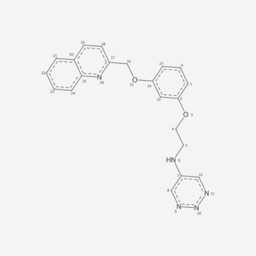 c1cc(OCCNc2cnnnc2)cc(OCc2ccc3ccccc3n2)c1